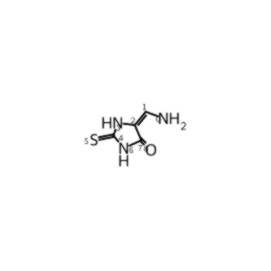 NC=C1NC(=S)NC1=O